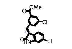 COC(=O)c1cc(Cl)cc(/C=C2/C(=O)Nc3cc(Cl)ccc32)c1